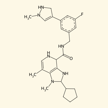 CC1=CNC(C(=O)NCc2cc(F)cc(C3=CN(C)NC3)c2)C2=C1N(C)C(C1CCCC1)N2